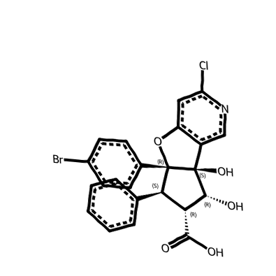 O=C(O)[C@H]1[C@@H](O)[C@@]2(O)c3cnc(Cl)cc3O[C@@]2(c2ccc(Br)cc2)[C@@H]1c1ccccc1